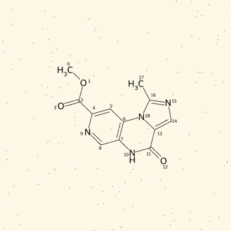 COC(=O)c1cc2c(cn1)[nH]c(=O)c1cnc(C)n12